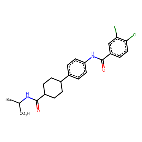 CCC(C)C(NC(=O)C1CCC(c2ccc(NC(=O)c3ccc(Cl)c(Cl)c3)cc2)CC1)C(=O)O